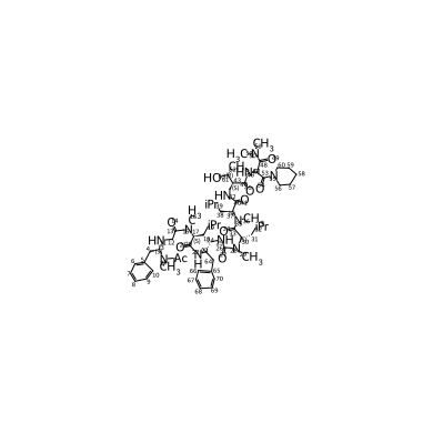 CC(=O)N(C)[C@@H](Cc1ccccc1)NCC(=O)N(C)[C@@H](CC(C)C)C(=O)N[C@H](CNC(=O)N(C)[C@@H](CC(C)C)C(=O)N(C)[C@@H](CC(C)C)C(=O)N[C@H](C(=O)N[C@@H](C(=O)N(C)C)C(=O)N1CCCCC1)[C@@H](C)O)Cc1ccccc1